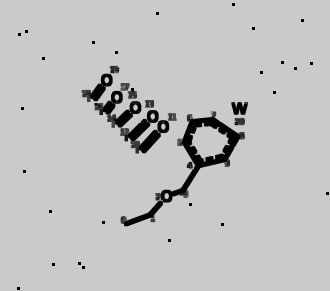 CCO[C]c1ccccc1.[C]=O.[C]=O.[C]=O.[C]=O.[C]=O.[W]